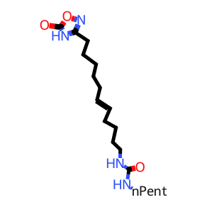 CCCCCNC(=O)NCCCC/C=C/CCCCCc1noc(=O)[nH]1